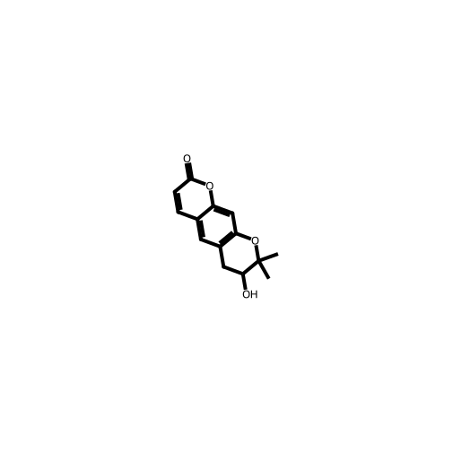 CC1(C)Oc2cc3oc(=O)ccc3cc2CC1O